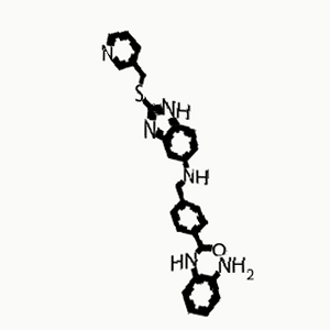 Nc1ccccc1NC(=O)c1ccc(CNc2ccc3[nH]c(SCc4cccnc4)nc3c2)cc1